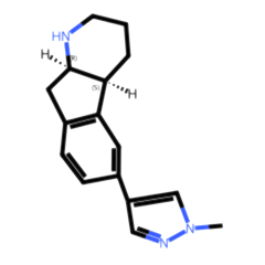 Cn1cc(-c2ccc3c(c2)[C@@H]2CCCN[C@@H]2C3)cn1